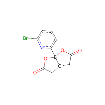 O=C1C[C+]2CC(=O)O[B-]2(c2cccc(Br)n2)O1